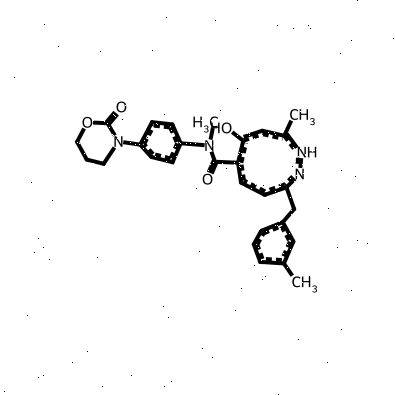 Cc1cccc(Cc2ccc(C(=O)N(C)c3ccc(N4CCCOC4=O)cc3)c(O)cc(C)[nH]n2)c1